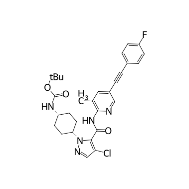 Cc1cc(C#Cc2ccc(F)cc2)cnc1NC(=O)c1c(Cl)cnn1[C@H]1CC[C@@H](NC(=O)OC(C)(C)C)CC1